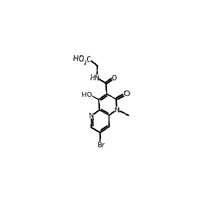 Cn1c(=O)c(C(=O)NCC(=O)O)c(O)c2ncc(Br)cc21